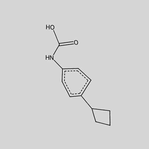 O=C(O)Nc1ccc(C2CCC2)cc1